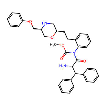 COC(=O)N(C(=O)[C@@H](N)C(c1ccccc1)c1ccccc1)c1ccccc1CC[C@@H]1CN[C@H](COc2ccccc2)CO1